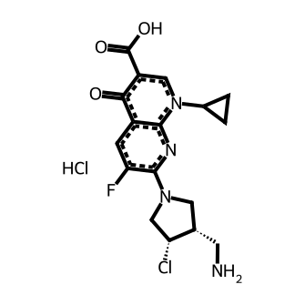 Cl.NC[C@H]1CN(c2nc3c(cc2F)c(=O)c(C(=O)O)cn3C2CC2)C[C@H]1Cl